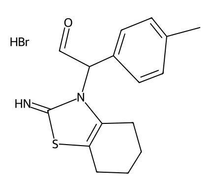 Br.Cc1ccc(C(C=O)n2c3c(sc2=N)CCCC3)cc1